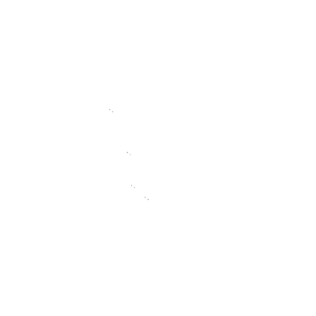 c1ccc2cc(-c3nnc(N4CCN(C5CCCC5)CC4)s3)ccc2c1